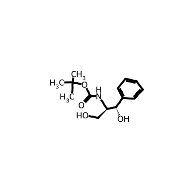 CC(C)(C)OC(=O)N[C@H](CO)[C@@H](O)c1ccccc1